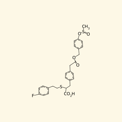 CS(=O)Oc1ccc(COC(=O)Cc2ccc(CC(SCCc3ccc(F)cc3)C(=O)O)cc2)cc1